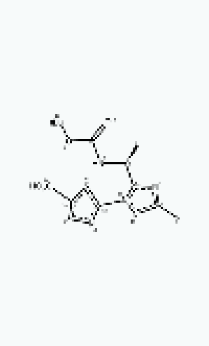 Cc1nc([C@H](C)NC(=O)OC(C)(C)C)n(-c2ncc(C(=O)O)s2)n1